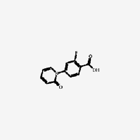 O=C(O)c1ccc(-n2ccccc2=O)cc1F